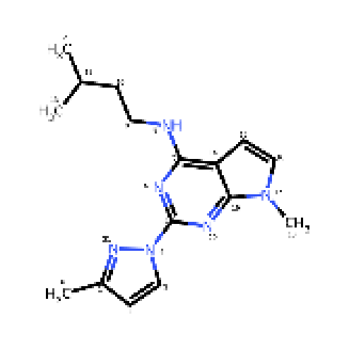 Cc1ccn(-c2nc(NCCC(C)C)c3ccn(C)c3n2)n1